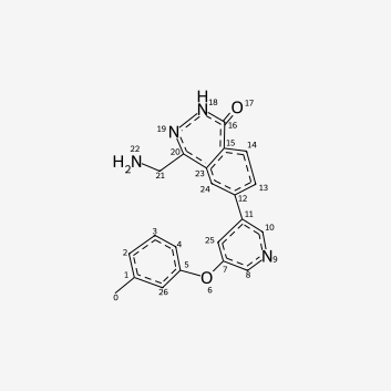 Cc1cccc(Oc2cncc(-c3ccc4c(=O)[nH]nc(CN)c4c3)c2)c1